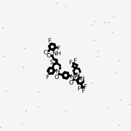 O=C(Nc1c(F)cc(F)cc1Cl)c1cc2c(s1)-c1ccc(F)cc1N(C(=O)c1ccc(NC(=O)c3cc(C(F)(F)F)cnc3N3CCC4(CC3)CC(F)(F)C4)cc1)CC2